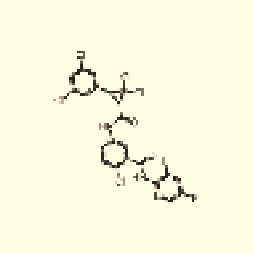 O=C(Nc1ncc(F)cc1F)c1cc(NC(=O)[C@H]2C(c3cc(Cl)cc(Cl)c3)C2(Cl)Cl)ccc1Cl